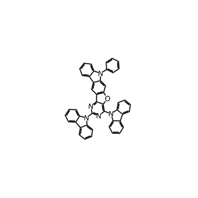 c1ccc(-n2c3ccccc3c3cc4c(cc32)oc2c(-n3c5ccccc5c5ccccc53)nc(-n3c5ccccc5c5ccccc53)nc24)cc1